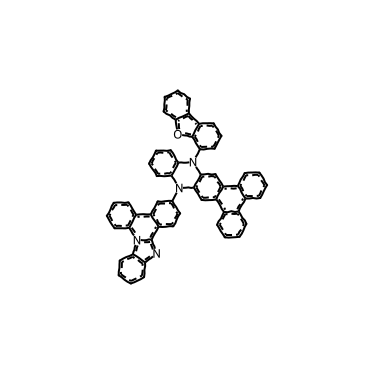 c1ccc2c(c1)N(c1ccc3c(c1)c1ccccc1n1c4ccccc4nc31)c1cc3c4ccccc4c4ccccc4c3cc1N2c1cccc2c1oc1ccccc12